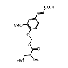 COc1cc(/C=C/C(=O)O)ccc1OCOC(=O)C(CC(C)(C)C)C(C)(C)C